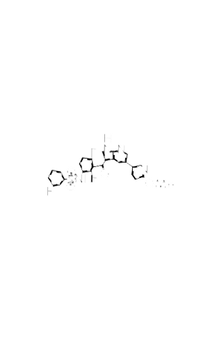 COc1ccc(-c2cnc3[nH]cc(C(=O)c4c(F)ccc(NS(=O)(=O)c5cccc(F)c5)c4F)c3c2)cn1